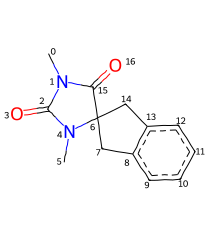 CN1C(=O)N(C)C2(Cc3ccccc3C2)C1=O